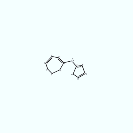 C1=CCCC[C]([Cr][C]2=CC=CC2)=C1